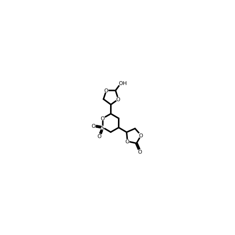 O=C1OCC(C2CC(C3COC(O)O3)OS(=O)(=O)C2)O1